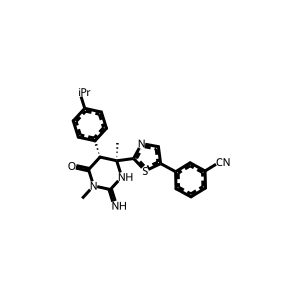 CC(C)c1ccc([C@H]2C(=O)N(C)C(=N)N[C@]2(C)c2ncc(-c3cccc(C#N)c3)s2)cc1